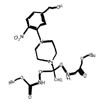 CC(C)(C)OC(=O)NOC(C=O)(ONC(=O)OC(C)(C)C)N1CCN(c2cc(CO)ccc2[N+](=O)[O-])CC1